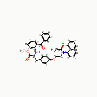 COC(=O)[C@H](Cc1ccc(OCCN(C(C)=O)c2cccc3ccccc23)cc1)Nc1ccccc1C(=O)c1ccccc1